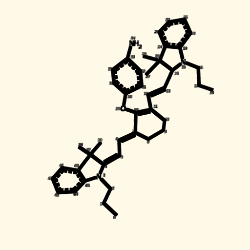 CCCN1/C(=C/C=C2\CCCC(/C=C/C3N(CCC)c4ccccc4C3(C)C)=C2Oc2ccc(N)cc2)C(C)(C)c2ccccc21